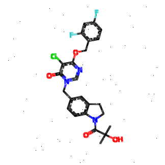 CC(C)(O)C(=O)N1CCc2cc(Cn3cnc(OCc4ccc(F)cc4F)c(Cl)c3=O)ccc21